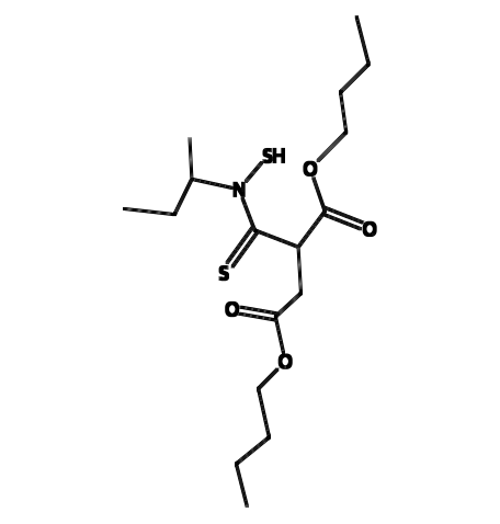 CCCCOC(=O)CC(C(=O)OCCCC)C(=S)N(S)C(C)CC